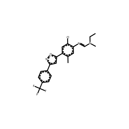 CCN(C)C=Nc1cc(C)c(-c2cc(-c3ccc(C(F)(F)F)cc3)no2)cc1Cl